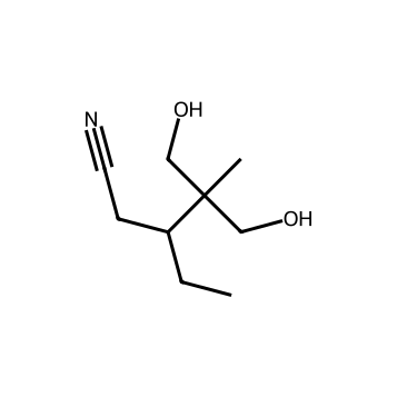 CCC(CC#N)C(C)(CO)CO